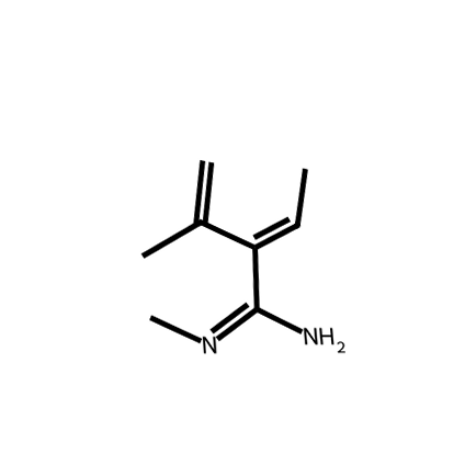 C=C(C)C(=C\C)/C(N)=N\C